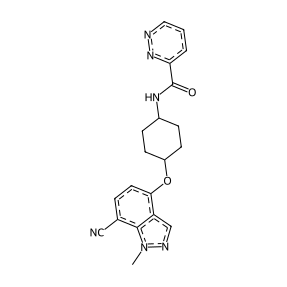 Cn1ncc2c(OC3CCC(NC(=O)c4cccnn4)CC3)ccc(C#N)c21